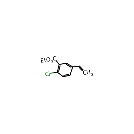 C=Cc1ccc(Cl)c(C(=O)OCC)c1